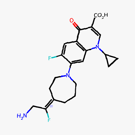 NC/C(F)=C1/CCCN(c2cc3c(cc2F)c(=O)c(C(=O)O)cn3C2CC2)CC1